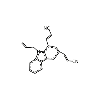 C=CCn1c2ccccc2c2cc(C=CC#N)cc(C=CC#N)c21